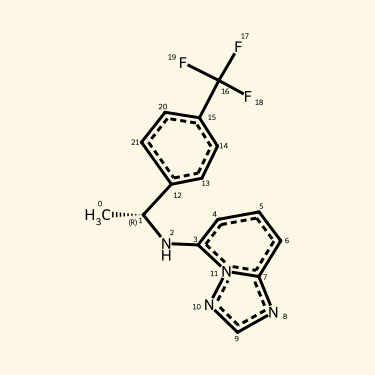 C[C@@H](Nc1cccc2ncnn12)c1ccc(C(F)(F)F)cc1